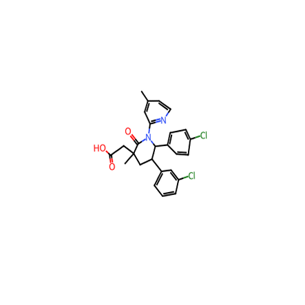 Cc1ccnc(N2C(=O)C(C)(CC(=O)O)CC(c3cccc(Cl)c3)C2c2ccc(Cl)cc2)c1